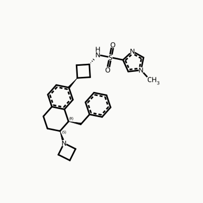 Cn1cnc(S(=O)(=O)N[C@H]2C[C@H](c3ccc4c(c3)[C@@H](Cc3ccccc3)[C@@H](N3CCC3)CC4)C2)c1